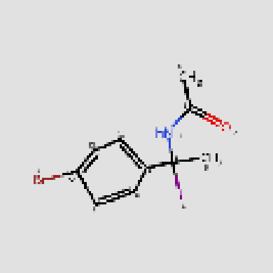 CC(=O)NC(C)(I)c1ccc(Br)cc1